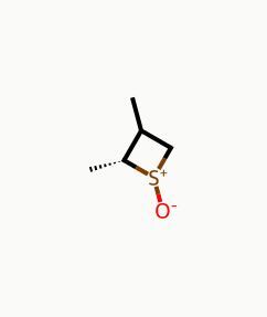 CC1C[S+]([O-])[C@@H]1C